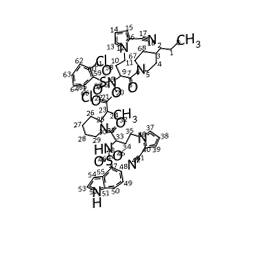 CCCC1CCN(C(=O)C(CCn2cccc2C#N)N(OC(=O)C(C)C2CCCCN2C(=O)C(CCn2cccc2C#N)NS(=O)(=O)c2cccc3[nH]ccc23)S(=O)(=O)c2c(Cl)cccc2Cl)CC1